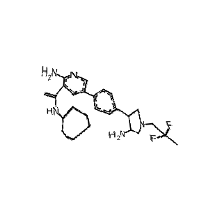 C=C(NC1CCCCC1)c1cc(-c2ccc(C3CN(CC(C)(F)F)CC3N)cc2)cnc1N